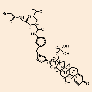 C[C@]12C=CC(=O)C=C1CC[C@H]1[C@@H]3C[C@H]4O[C@@H](c5ccn(Cc6cccc(NC(=O)[C@H](CCC(=O)O)NC(=O)CNC(=O)CBr)c6)c5)O[C@@]4(C(=O)COP(=O)(O)O)[C@@]3(C)C[C@H](O)[C@@]12F